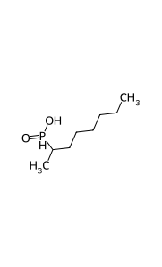 CCCCCCC(C)[PH](=O)O